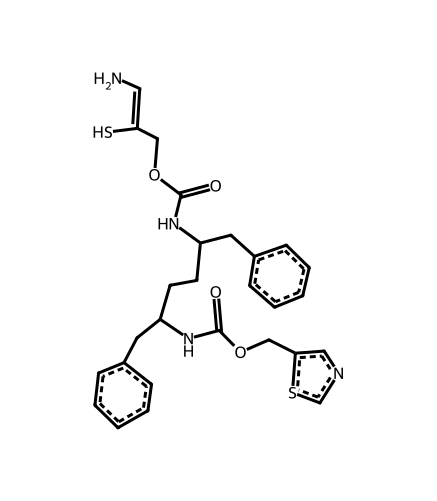 N/C=C(\S)COC(=O)NC(CCC(Cc1ccccc1)NC(=O)OCc1cncs1)Cc1ccccc1